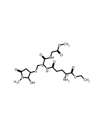 CCOC(=O)[C@@H](N)CCC(=O)N[C@@H](CSC1CC(=O)N(C)C1O)C(=O)NCC(=O)OC